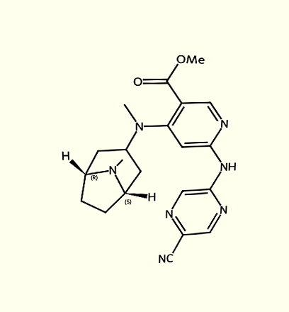 COC(=O)c1cnc(Nc2cnc(C#N)cn2)cc1N(C)C1C[C@H]2CC[C@@H](C1)N2C